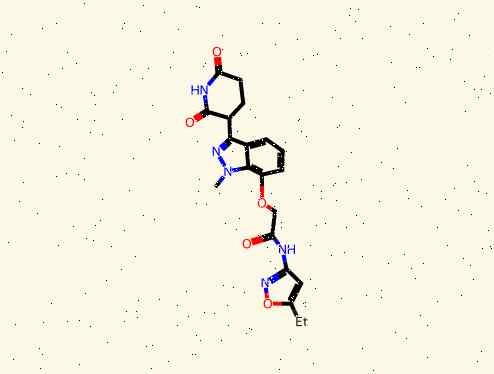 CCc1cc(NC(=O)COc2cccc3c(C4CCC(=O)NC4=O)nn(C)c23)no1